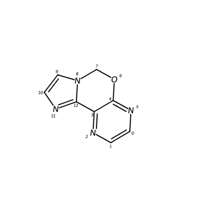 c1cnc2c(n1)OCn1ccnc1-2